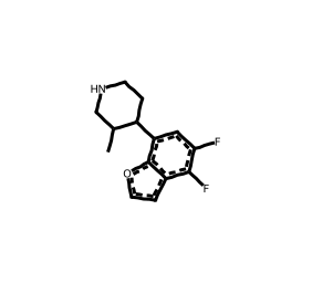 CC1CNCCC1c1cc(F)c(F)c2ccoc12